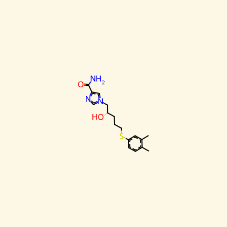 Cc1ccc(SCCC[C@H](O)Cn2cnc(C(N)=O)c2)cc1C